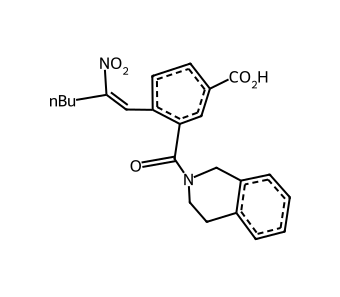 CCCCC(=Cc1ccc(C(=O)O)cc1C(=O)N1CCc2ccccc2C1)[N+](=O)[O-]